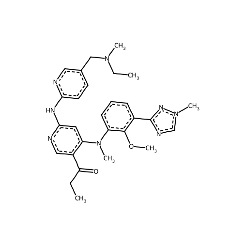 CCC(=O)c1cnc(Nc2ccc(CN(C)CC)cn2)cc1N(C)c1cccc(-c2ncn(C)n2)c1OC